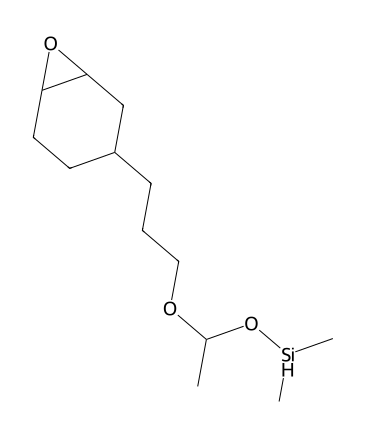 CC(OCCCC1CCC2OC2C1)O[SiH](C)C